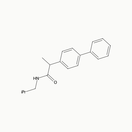 CC(C)CNC(=O)C(C)c1ccc(-c2ccccc2)cc1